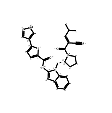 CC(C)C=C(C#N)C(=O)N1CCC[C@@H]1Cn1c(NC(=O)c2ccc(-c3cn[nH]c3)s2)nc2ccccc21